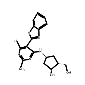 Nc1nc(Cl)c(-c2nc3ccccc3o2)c(N[C@@H]2C[C@H](CO)[C@@H](O)C2)n1